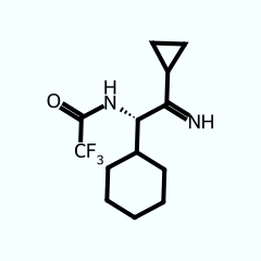 N=C(C1CC1)[C@@H](NC(=O)C(F)(F)F)C1CCCCC1